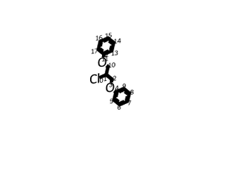 ClC(COc1ccccc1)COc1ccccc1